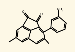 Cc1cc2c3c(c(-c4cccc([N+](=O)[O-])c4)c(C)cc3c1)C(=O)C2=O